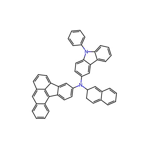 C1=c2ccccc2=CC(N(c2ccc3c(c2)-c2cccc4cc5ccccc5c-3c24)c2ccc3c(c2)c2ccccc2n3-c2ccccc2)C1